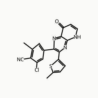 Cc1ccc(-c2nc3[nH]ccc(=O)c3nc2-c2cc(C)c(C#N)c(Cl)c2)s1